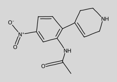 CC(=O)Nc1cc([N+](=O)[O-])ccc1C1=CCNCC1